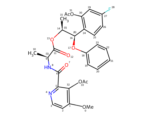 COc1ccnc(C(=O)N[C@@H](C)C(=O)O[C@@H](C)[C@H](Oc2ccccc2)c2ccc(F)cc2OC(C)=O)c1OC(C)=O